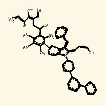 Bc1c(-c2ccc3c(c2)c(=C\c2ccccc2)/c(=C\C=C/C)n3-c2ccc(-c3cccc(-c4ccccc4)c3)cc2)c(C)c(C)c(C)c1C(C)C/C(C=C)=C(C)\C(S)=C\C